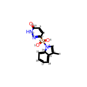 Cc1cn(S(=O)(=O)c2ccc(=O)[nH]n2)c2ccccc12